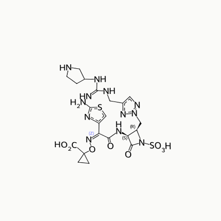 N=C(NCc1cnn(C[C@@H]2[C@H](NC(=O)/C(=N\OC3(C(=O)O)CC3)c3csc(N)n3)C(=O)N2S(=O)(=O)O)n1)NC1CCNC1